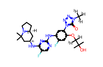 [2H]C([2H])([2H])n1nnn(-c2cc(Nc3ncc(F)c(N[C@@H]4C[C@@H]5CCCN5C(C)(C)C4)n3)c(F)cc2OC([2H])([2H])C(C)(C)O)c1=O